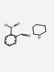 C1CCNCC1.O=Cc1ccccc1[N+](=O)[O-]